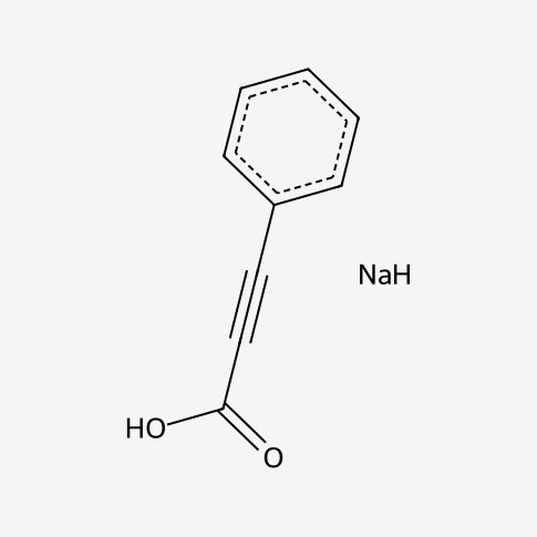 O=C(O)C#Cc1ccccc1.[NaH]